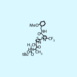 COc1ccccc1CNC(=O)c1cc(C(F)(F)F)nn1-c1nc(N(C)C(=O)[C@H](C)NC(=O)OC(C)(C)C)cs1